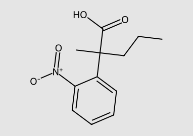 CCCC(C)(C(=O)O)c1ccccc1[N+](=O)[O-]